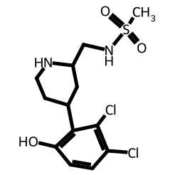 CS(=O)(=O)NCC1CC(c2c(O)ccc(Cl)c2Cl)CCN1